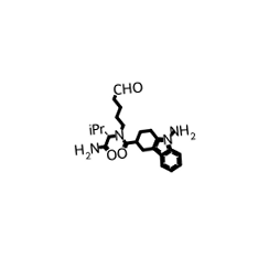 CC(C)[C@@H](C(N)=O)N(CCCCC=O)C(=O)C1CCc2c(c3ccccc3n2N)C1